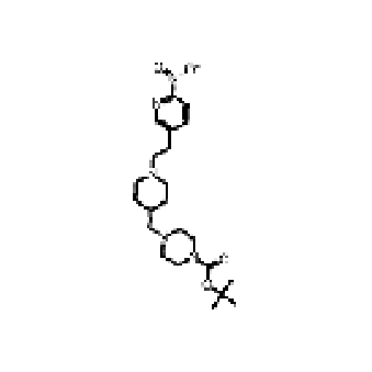 CC(C)(C)OC(=O)N1CCN(CC2CCN(CCc3ccc([N+](=O)[O-])nc3)CC2)CC1